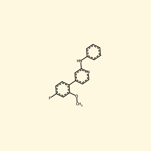 COc1cc(F)ccc1-c1ccnc(Nc2c[c]ccc2)c1